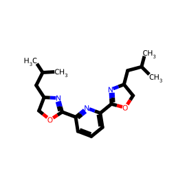 CC(C)CC1COC(c2cccc(C3=NC(CC(C)C)CO3)n2)=N1